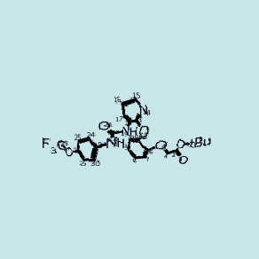 CC(C)(C)OC(=O)COc1ccccc1Oc1ncccc1NC(=O)Nc1ccc(OC(F)(F)F)cc1